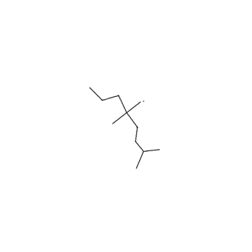 [CH2]C(C)(CCC)CCC(C)C